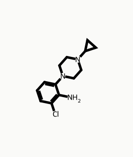 Nc1c(Cl)cccc1N1CCN(C2CC2)CC1